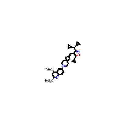 COc1cc(C(=O)O)nc2ccc(N3CCC4(CC3)CC(=Cc3c(C(C5CC5)C5CC5)noc3C3CC3)C4)cc12